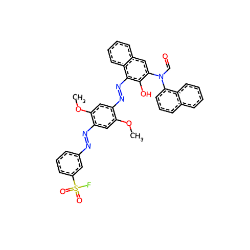 COc1cc(N=Nc2c(O)c(N(C=O)c3cccc4ccccc34)cc3ccccc23)c(OC)cc1N=Nc1cccc(S(=O)(=O)F)c1